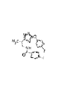 CC(CNC(=O)c1ccc(I)cc1)c1nnn(Oc2ccc(F)cc2)n1